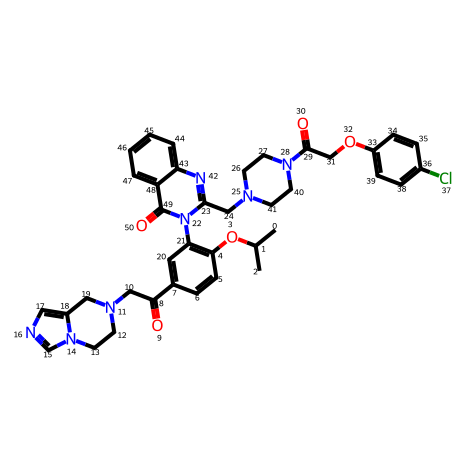 CC(C)Oc1ccc(C(=O)CN2CCn3cncc3C2)cc1-n1c(CN2CCN(C(=O)COc3ccc(Cl)cc3)CC2)nc2ccccc2c1=O